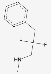 CNCC(F)(F)Cc1ccccc1